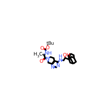 C[C@H](NC(=O)OC(C)(C)C)C(=O)N1CCc2c(ncnc2NCC(O)C23CC4CC(CC(C4)C2)C3)C1